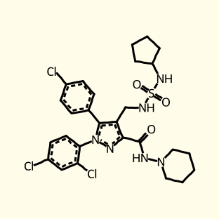 O=C(NN1CCCCC1)c1nn(-c2ccc(Cl)cc2Cl)c(-c2ccc(Cl)cc2)c1CNS(=O)(=O)NC1CCCC1